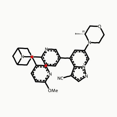 COc1ccc(CN2C3CC2CN(c2ccc(-c4cc(N5CCOC[C@H]5C)cn5ncc(C#N)c45)cn2)C3)cn1